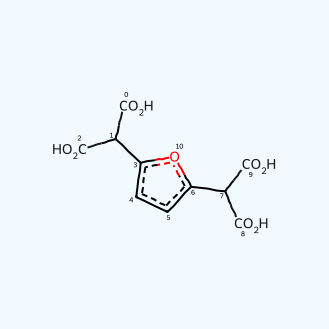 O=C(O)C(C(=O)O)c1ccc(C(C(=O)O)C(=O)O)o1